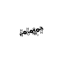 Nc1cc(C(=O)Nc2ccc(C3=NCCN3)cc2)ccc1C(=O)Nc1ccc(C2=NCCN2)cc1